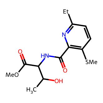 CCc1ccc(SC)c(C(=O)NC(C(=O)OC)C(C)O)n1